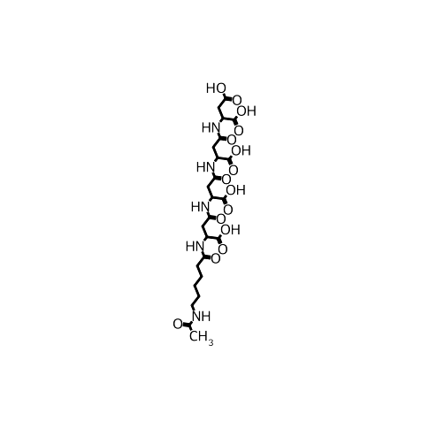 CC(=O)NCCCCCC(=O)NC(CC(=O)NC(CC(=O)NC(CC(=O)NC(CC(=O)O)C(=O)O)C(=O)O)C(=O)O)C(=O)O